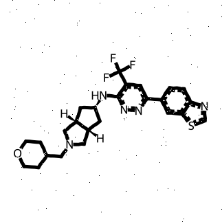 FC(F)(F)c1cc(-c2ccc3ncsc3c2)nnc1N[C@H]1C[C@@H]2CN(CC3CCOCC3)C[C@@H]2C1